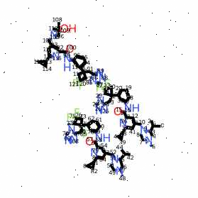 CC(C)C1CN(C)CCN1Cc1cc(C(=O)Nc2cccc(C3(Cc4nncn4C)CC(F)(F)C3)c2)nc(C2CC2)c1.CC(C)C1CN(C)CCN1Cc1cc(C(=O)Nc2cccc(C3([C@@H](F)c4nncn4C)CC(F)(F)C3)c2)nc(C2CC2)c1.Cn1cnnc1CC1(c2cccc(NC(=O)c3cc(CN4CC(C)(O)C4)cc(C4CC4)n3)c2)CC(F)(F)C1